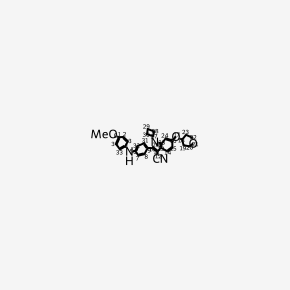 COc1ccc(Nc2ccc(-c3c(C#N)c4ccc(OC5CCOCC5)cc4n3C3CCC3)cc2)cc1